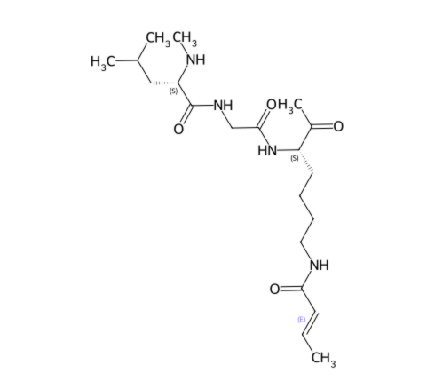 C/C=C/C(=O)NCCCC[C@H](NC(=O)CNC(=O)[C@H](CC(C)C)NC)C(C)=O